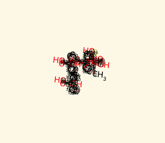 CCCCCCCCCCCCCCC(O)=S.O=C(O)CCc1cc(C2CCCCCCCCCCC2)c(O)c(C2CCCCCCCCCCC2)c1.O=C(O)CCc1cc(C2CCCCCCCCCCC2)c(O)c(C2CCCCCCCCCCC2)c1.O=C(O)CCc1cc(C2CCCCCCCCCCC2)c(O)c(C2CCCCCCCCCCC2)c1.OCC(CO)(CO)CO